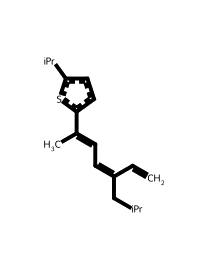 C=C/C(=C\C=C(/C)c1ccc(C(C)C)s1)CC(C)C